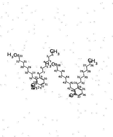 CCCCCCCCCc1cccc([O-])c1CCCCCCCCC.CCCCCCCCCc1cccc([O-])c1CCCCCCCCC.[Sn+2]